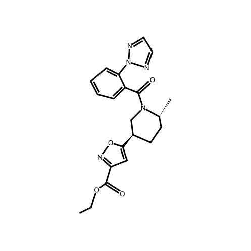 CCOC(=O)c1cc([C@@H]2CC[C@@H](C)N(C(=O)c3ccccc3-n3nccn3)C2)on1